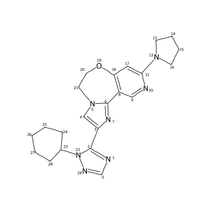 c1nc(-c2cn3c(n2)-c2cnc(N4CCCC4)cc2OCC3)n(C2CCCCC2)n1